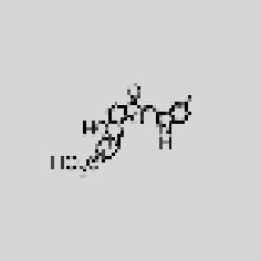 Cc1ccc2[nH]cc(C=C3Oc4c(ccc(O)c4CN4CCN(C(=O)O)CC4)C3=O)c2c1